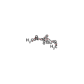 C=Cc1ccc(Oc2ccc(CCCCCCC3(c4ccc(C(C)(C)C)cc4)c4ccccc4-c4ccc(N(c5ccc(-c6ccc7c(c6)c6ccccc6n7-c6ccc(C=C)cc6)cc5)c5ccc6ccccc6c5)cc43)cc2)cc1